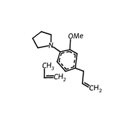 C=CC.C=CCc1ccc(N2CCCC2)c(OC)c1